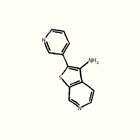 Nc1c(-c2cccnc2)sc2cnccc12